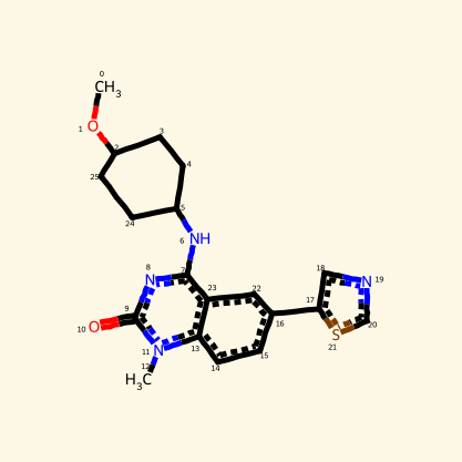 COC1CCC(Nc2nc(=O)n(C)c3ccc(-c4cncs4)cc23)CC1